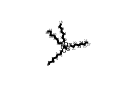 CCCCCCCCOC(OCCCCCCCC)(OCCCCCCCC)OCCCCCCCC